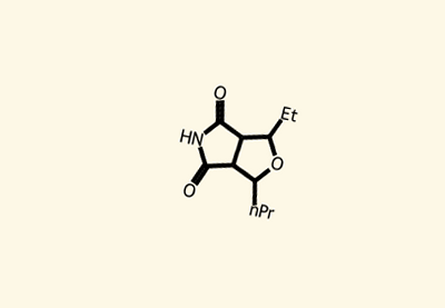 CCCC1OC(CC)C2C(=O)NC(=O)C12